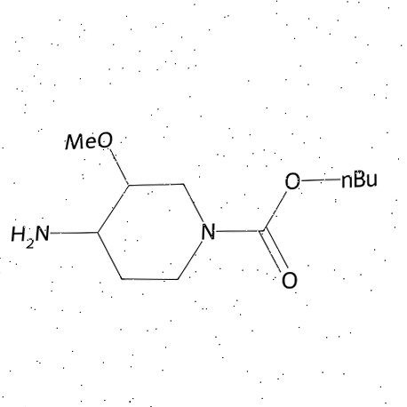 CCCCOC(=O)N1CCC(N)C(OC)C1